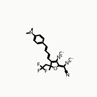 [C-]#[N+]C1=C(/C=C/C=C/c2ccc(N(C)C)cc2)C(C)(CC(F)(F)F)O/C1=C(\C#N)[N+]#[C-]